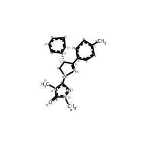 Cc1ccc(C2=NN(c3nn(C)c(=O)n3C)C[C@@H]2c2ccccc2)cc1